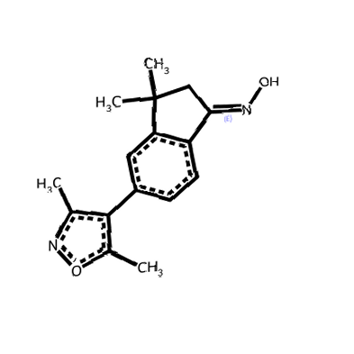 Cc1noc(C)c1-c1ccc2c(c1)C(C)(C)C/C2=N\O